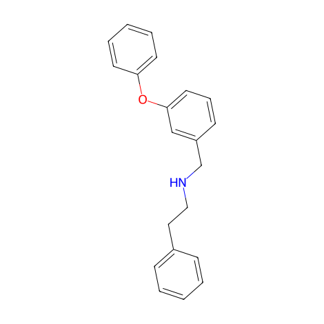 c1ccc(CCNCc2cccc(Oc3ccccc3)c2)cc1